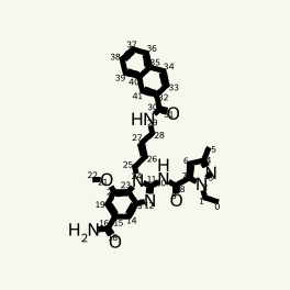 CCn1nc(C)cc1C(=O)Nc1nc2cc(C(N)=O)cc(OC)c2n1CC=CCNC(=O)c1ccc2ccccc2c1